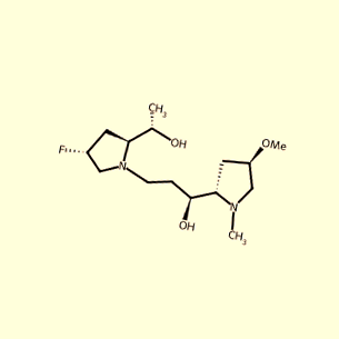 CO[C@@H]1C[C@@H]([C@@H](O)CCN2C[C@H](F)C[C@H]2[C@H](C)O)N(C)C1